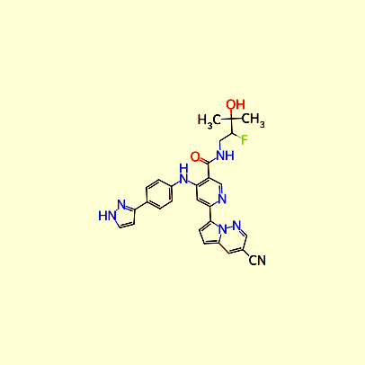 CC(C)(O)C(F)CNC(=O)c1cnc(-c2ccc3cc(C#N)cnn23)cc1Nc1ccc(-c2cc[nH]n2)cc1